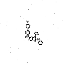 [2H]C1CCN(c2ccc(Nc3ncc4nc(Nc5ccccc5)n(C5CCCC5)c4n3)cc2)CC1